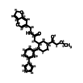 COCC(=O)N1CCN(c2ccnc(-n3ccnc3)n2)C(CC(=O)NCC2=COC3=CCOC3=C2)C1